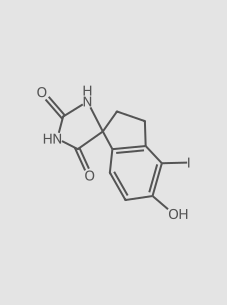 O=C1NC(=O)C2(CCc3c2ccc(O)c3I)N1